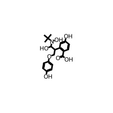 CC(C)(C)N(O)C(O)C(COc1ccc(O)cc1)c1cc(O)ccc1C(=O)O